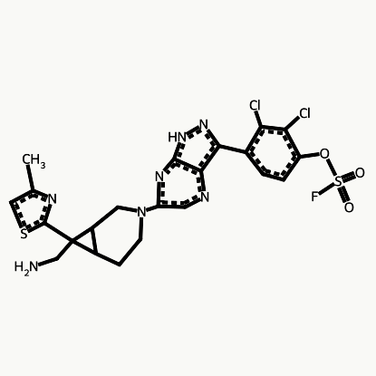 Cc1csc(C2(CN)C3CCN(c4cnc5c(-c6ccc(OS(=O)(=O)F)c(Cl)c6Cl)n[nH]c5n4)CC32)n1